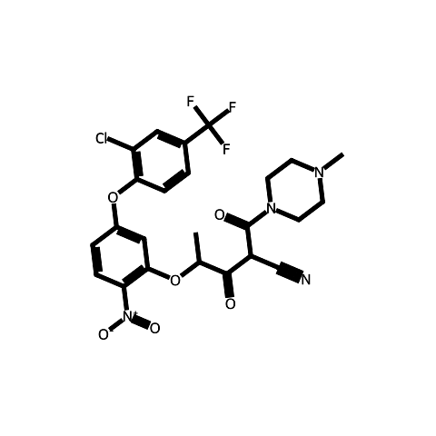 CC(Oc1cc(Oc2ccc(C(F)(F)F)cc2Cl)ccc1[N+](=O)[O-])C(=O)C(C#N)C(=O)N1CCN(C)CC1